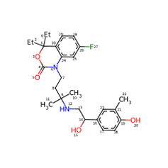 CCC1(CC)OC(=O)N(CCC(C)(C)NCC(O)c2ccc(O)c(C)c2)c2cc(F)ccc21